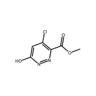 COC(=O)c1nnc(O)cc1Cl